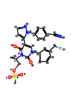 C[C@H](COS(C)(=O)=O)n1c(=O)c(-c2ccnn2-c2ccc(C#N)cc2)cn(-c2cccc(CF)c2)c1=O